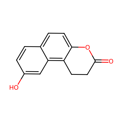 O=C1CCc2c(ccc3ccc(O)cc23)O1